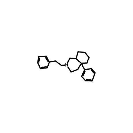 c1ccc(CCN2CCC3(c4ccccc4)CCCCC3C2)cc1